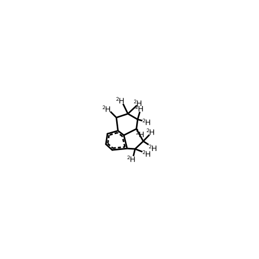 [2H]C1c2cccc3c2C([2H])(C([2H])([2H])C3([2H])[2H])C([2H])([2H])C1([2H])[2H]